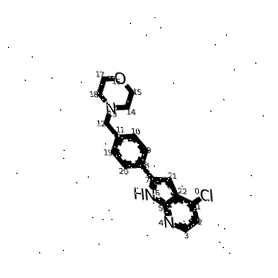 Clc1ccnc2[nH]c(-c3ccc(CN4CCOCC4)cc3)cc12